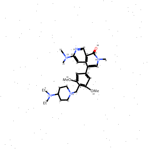 CCN(CC)C1CCN(Cc2c(OC)cc(-c3cn(C)c(=O)c4cnc(N(C)C)cc34)cc2OC)CC1